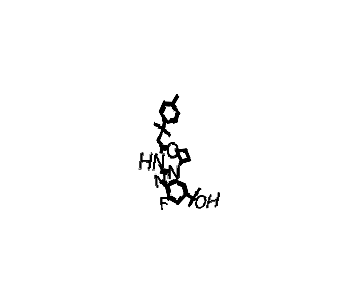 Cc1ccc(C(C)(C)CC(=O)Nc2nc3c(F)cc(C(C)(C)O)cc3n2C2CCC2)cc1